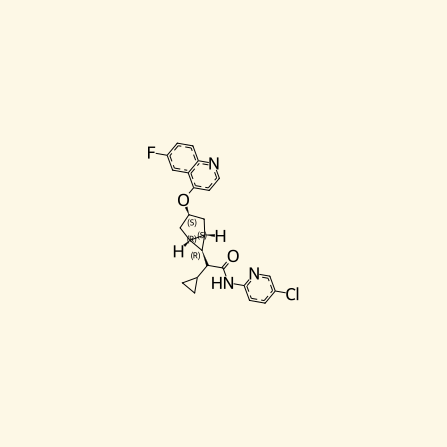 O=C(Nc1ccc(Cl)cn1)C(C1CC1)[C@H]1[C@@H]2C[C@@H](Oc3ccnc4ccc(F)cc34)C[C@@H]21